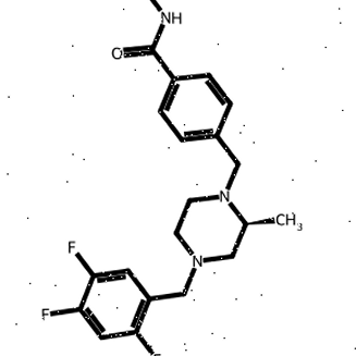 C[C@H]1CN(Cc2cc(F)c(F)cc2F)CCN1Cc1ccc(C(=O)NO)cc1